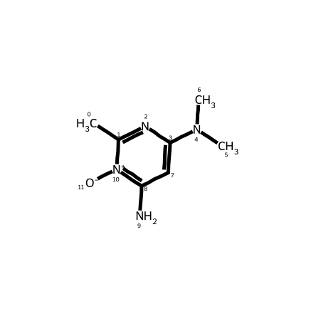 Cc1nc(N(C)C)cc(N)[n+]1[O-]